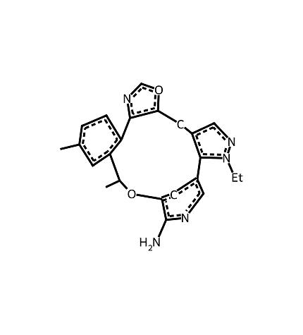 CCn1ncc2c1-c1cnc(N)c(c1)OC(C)c1cc(C)ccc1-c1ncoc1C2